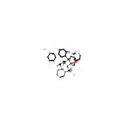 COc1ccc(NC(=O)C2(OC(=O)C3(c4ccc(F)cc4Cl)CCCC3OC)CCC=CC2C(=O)OC(=O)c2ccncn2)cc1